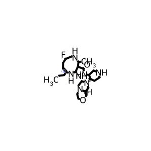 CCC/C1=C/CC(F)CNC(C)C(C(=O)NC2CNCCC2N2CCN3CCOC[C@H]3C2)C(N)N1